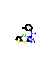 Cc1cccc(Nc2n[nH]c(Sc3sccc3Cl)n2)c1